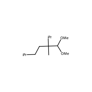 COC(OC)C(C)(CCC(C)C)C(C)C